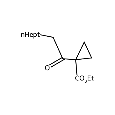 CCCCCCCCC(=O)C1(C(=O)OCC)CC1